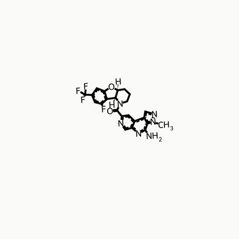 Cn1ncc2c3cc(C(=O)N4CCC[C@@H]5Oc6cc(C(F)(F)F)cc(F)c6[C@@H]54)ncc3nc(N)c21